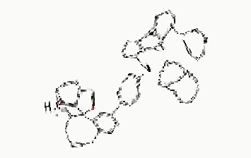 C=C1/C=C\C=C/Cc2ccc(-c3ccc(N(c4ccc5ccccc5c4)c4cccc5c4oc4c(-c6ccccc6)cccc45)cc3)cc2C12c1ccccc1-c1ccccc12